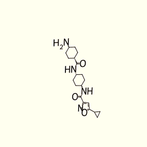 N[C@H]1CC[C@@H](C(=O)N[C@H]2CC[C@H](NC(=O)c3cc(C4CC4)on3)CC2)CC1